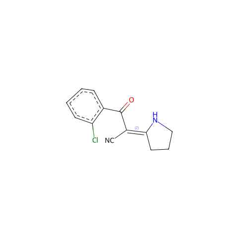 N#C/C(C(=O)c1ccccc1Cl)=C1\CCCN1